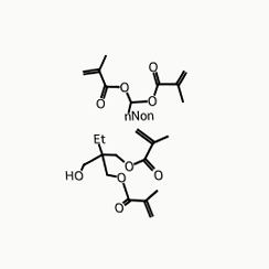 C=C(C)C(=O)OC(CCCCCCCCC)OC(=O)C(=C)C.C=C(C)C(=O)OCC(CC)(CO)COC(=O)C(=C)C